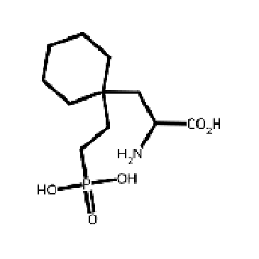 NC(CC1(CCP(=O)(O)O)CCCCC1)C(=O)O